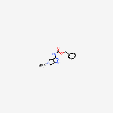 O=C(Nc1n[nH]c2c1CN(C(=O)O)C2)OCc1ccccc1